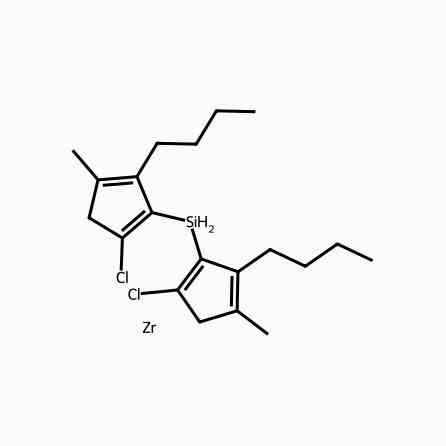 CCCCC1=C(C)CC(Cl)=C1[SiH2]C1=C(Cl)CC(C)=C1CCCC.[Zr]